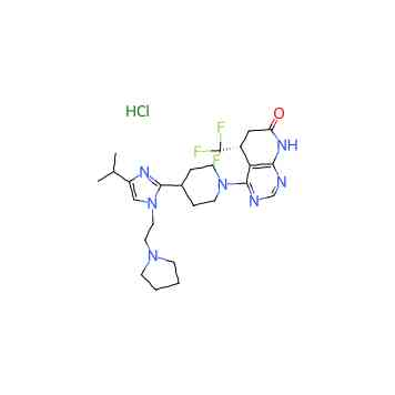 CC(C)c1cn(CCN2CCCC2)c(C2CCN(c3ncnc4c3[C@H](C(F)(F)F)CC(=O)N4)CC2)n1.Cl